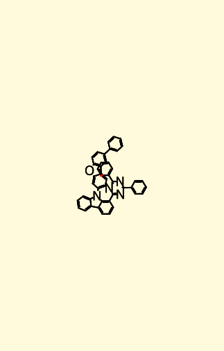 c1ccc(-c2ccc3oc4cc(-n5c6ccccc6c6cccc(-c7nc(-c8ccccc8)nc(-c8ccccc8)n7)c65)ccc4c3c2)cc1